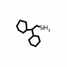 [SiH3]CC(C1CCCCC1)C1CCCCC1